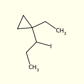 CCC(I)C1(CC)CC1